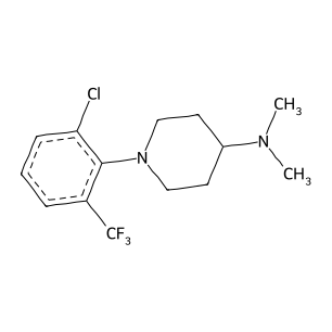 CN(C)C1CCN(c2c(Cl)cccc2C(F)(F)F)CC1